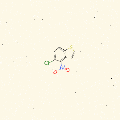 O=[N+]([O-])c1c(Cl)ccc2sccc12